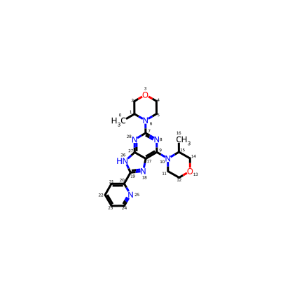 CC1COCCN1c1nc(N2CCOCC2C)c2nc(-c3ccccn3)[nH]c2n1